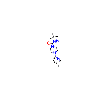 Cc1ccc(N2CCN(C(=O)NC(C)(C)C)CC2)nc1